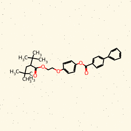 CC(C)(C)CC(C(=O)OCCOc1ccc(OC(=O)c2ccc(-c3ccccc3)cc2)cc1)C(C)(C)C